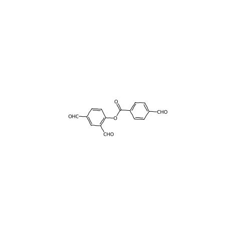 O=Cc1ccc(C(=O)Oc2ccc(C=O)cc2C=O)cc1